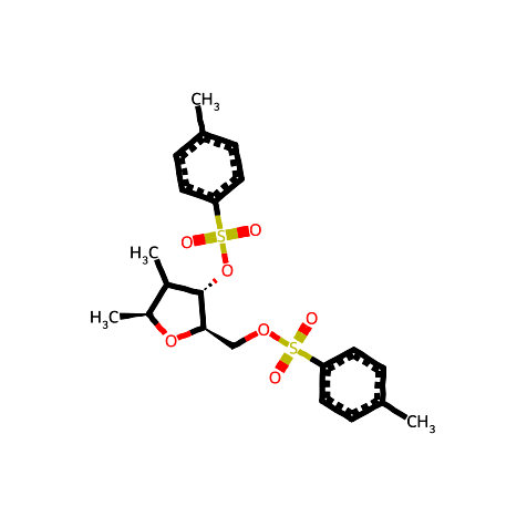 Cc1ccc(S(=O)(=O)OC[C@H]2O[C@@H](C)C(C)[C@@H]2OS(=O)(=O)c2ccc(C)cc2)cc1